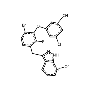 N#Cc1cc(Cl)cc(Oc2c(Br)ccc(Cc3n[nH]c4c3ccc[n+]4[O-])c2F)c1